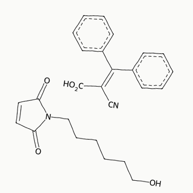 N#CC(C(=O)O)=C(c1ccccc1)c1ccccc1.O=C1C=CC(=O)N1CCCCCCO